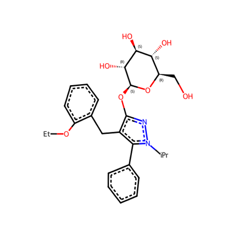 CCOc1ccccc1Cc1c(O[C@@H]2O[C@H](CO)[C@@H](O)[C@H](O)[C@H]2O)nn(C(C)C)c1-c1ccccc1